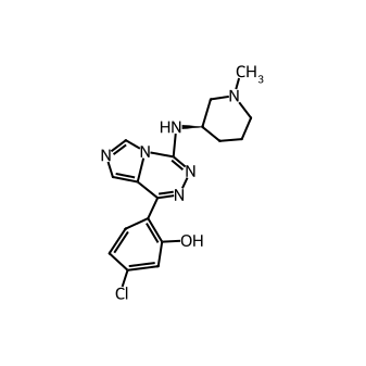 CN1CCC[C@@H](Nc2nnc(-c3ccc(Cl)cc3O)c3cncn23)C1